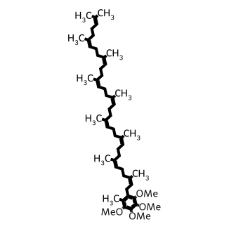 COc1c(C)c(CC=C(C)CCC=C(C)CCC=C(C)CCC=C(C)CCC=C(C)CCC=C(C)CCC=C(C)CCC=C(C)CCC=C(C)C)c(OC)c(OC)c1OC